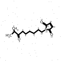 CC(C)C(=O)CCCCCCN1C(=O)C=CC1=O